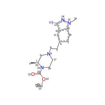 C[C@H]1CN(CCc2ccc3c(c2)c(I)nn3C)CCN1C(=O)OC(C)(C)C